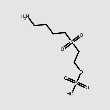 NCCCCS(=O)(=O)CCOS(=O)(=O)O